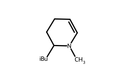 CCC(C)C1CCC=CN1C